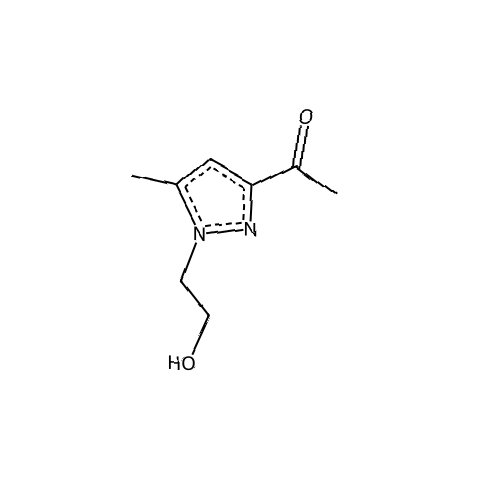 CC(=O)c1cc(C)n(CCO)n1